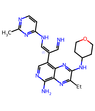 CCc1nc2c(N)ncc(/C(C=N)=C/Nc3ccnc(C)n3)c2nc1NC1CCOCC1